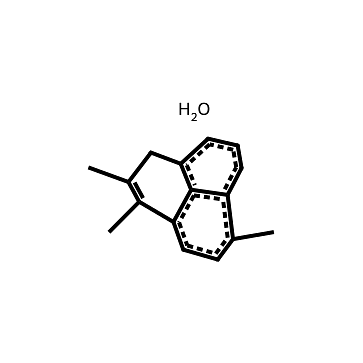 CC1=C(C)c2ccc(C)c3cccc(c23)C1.O